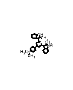 Cc1[nH]c2ccccc2c1-c1cc(-c2ccc(N(C)C)cc2)cc(-c2c(C)[nH]c3ccccc23)n1